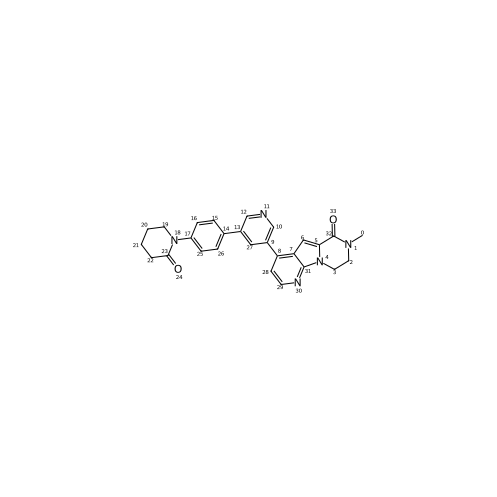 CN1CCn2c(cc3c(-c4cncc(-c5ccc(N6CCCCC6=O)cc5)c4)ccnc32)C1=O